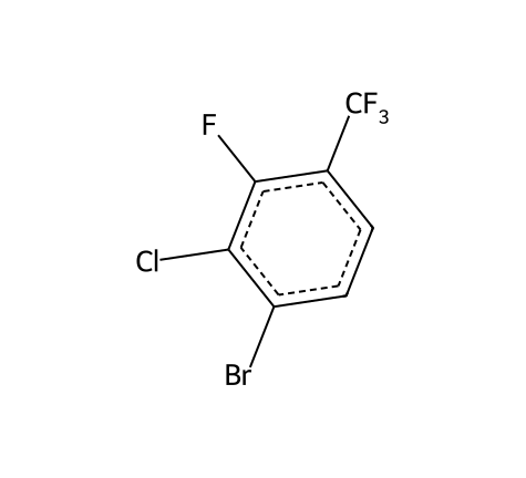 Fc1c(C(F)(F)F)ccc(Br)c1Cl